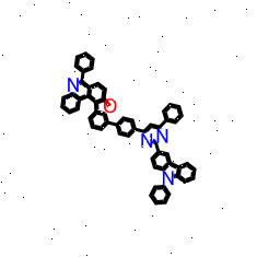 c1ccc(-c2cc(-c3ccc(-c4cccc5c4oc4ccc6c(-c7ccccc7)nc7ccccc7c6c45)cc3)nc(-c3ccc4c(c3)c3ccccc3n4-c3ccccc3)n2)cc1